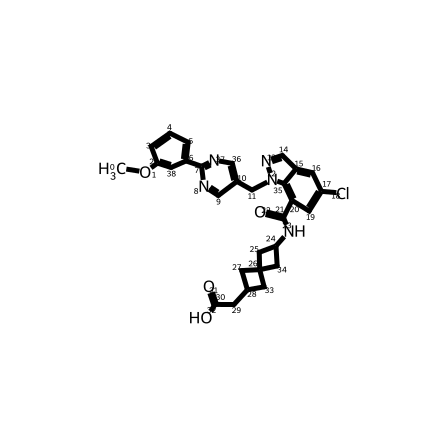 COc1cccc(-c2ncc(Cn3ncc4cc(Cl)cc(C(=O)NC5CC6(CC(CC(=O)O)C6)C5)c43)cn2)c1